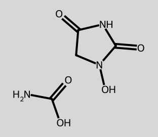 NC(=O)O.O=C1CN(O)C(=O)N1